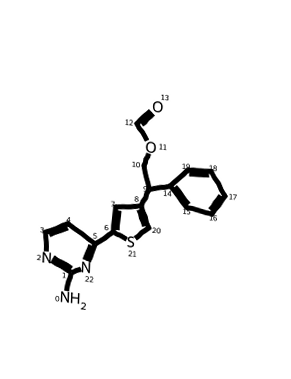 Nc1nccc(-c2cc(C(COC=O)c3ccccc3)cs2)n1